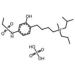 CCC[N+](C)(CCCCc1ccc(NS(=O)(=O)CC)cc1O)CC(C)C.O=S(=O)(O)O